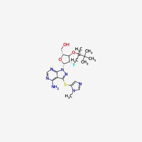 Cn1cncc1Sc1nn([C@@H]2O[C@H](CO)C(O[Si](C)(C)C(C)(C)C)[C@@H]2F)c2ncnc(N)c12